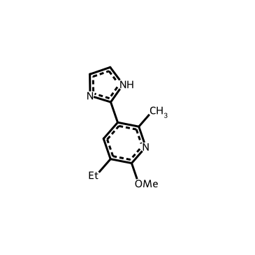 CCc1cc(-c2ncc[nH]2)c(C)nc1OC